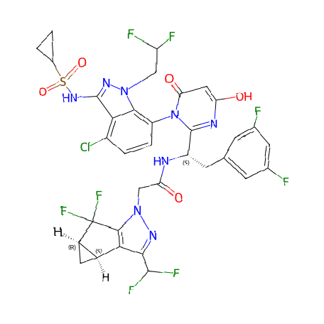 O=C(Cn1nc(C(F)F)c2c1C(F)(F)[C@@H]1C[C@H]21)N[C@@H](Cc1cc(F)cc(F)c1)c1nc(O)cc(=O)n1-c1ccc(Cl)c2c(NS(=O)(=O)C3CC3)nn(CC(F)F)c12